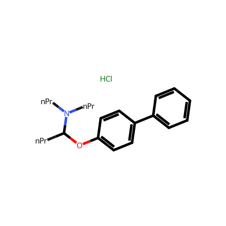 CCCC(Oc1ccc(-c2ccccc2)cc1)N(CCC)CCC.Cl